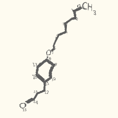 CCCCCCCO[C@@H]1C=CC(CCC=O)=CC1